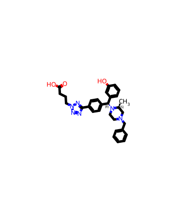 C[C@H]1CN(Cc2ccccc2)CCN1[C@H](c1ccc(-c2nnn(CCCC(=O)O)n2)cc1)c1cccc(O)c1